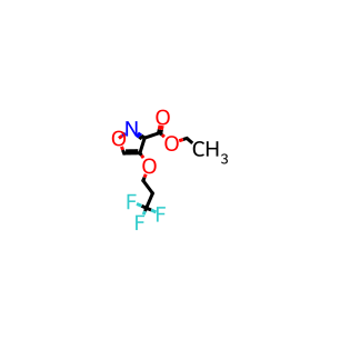 CCOC(=O)c1nocc1OCCC(F)(F)F